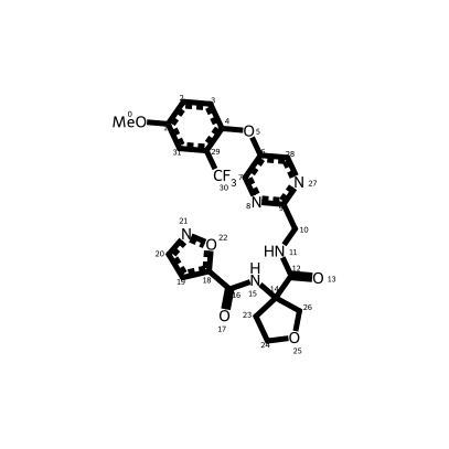 COc1ccc(Oc2cnc(CNC(=O)C3(NC(=O)c4ccno4)CCOC3)nc2)c(C(F)(F)F)c1